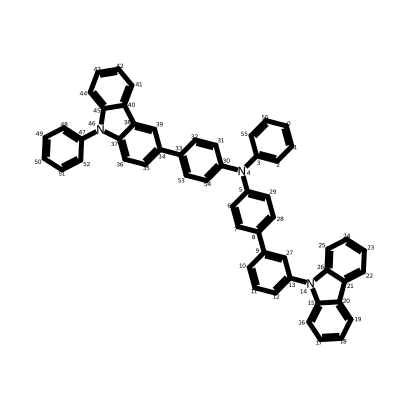 c1ccc(N(c2ccc(-c3cccc(-n4c5ccccc5c5ccccc54)c3)cc2)c2ccc(-c3ccc4c(c3)c3ccccc3n4-c3ccccc3)cc2)cc1